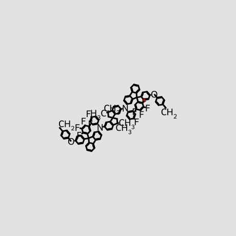 C=Cc1ccc(Oc2ccc(C3(c4cc(F)c(F)c(F)c4F)c4ccccc4-c4ccc(N(c5ccc(F)cc5)c5ccc6c(c5)C5(CC6(C)C)CC(C)(C)c6ccc(N(c7ccc(F)cc7)c7ccc8c(c7)C(c7ccc(Oc9ccc(C=C)cc9)cc7)(c7cc(F)c(F)c(F)c7F)c7ccccc7-8)cc65)cc43)cc2)cc1